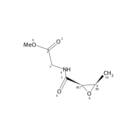 COC(=O)CNC(=O)[C@@H]1O[C@@H]1C